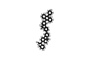 C=Cc1c(-c2c(C)sc3ccccc23)ccc2c1C(C)(C)c1ccc(-c3ccc4c(c3)C(C)(C)c3ccc(-c5c6ccccc6c(-c6ccccc6)c6ccccc56)cc3-4)cc1-2